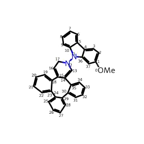 COc1ccc2c3ccccc3n(N3C=C4C(=CC3)c3ccccc3-c3ccccc3-c3ccccc34)c2c1